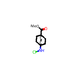 COC(=O)C12CCC(NCl)(CC1)CC2